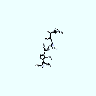 C=C/C(CC)=C(S)\C=C(\C)CNC(=O)c1csc(/C(N)=N\CCC)c1C